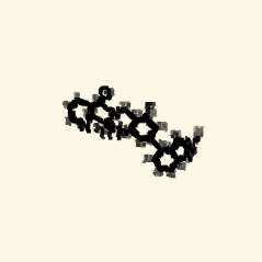 [2H]C1([2H])c2ncccc2C(=O)N1Cc1c(F)cc(-c2cccc3nn(C)cc23)cc1F